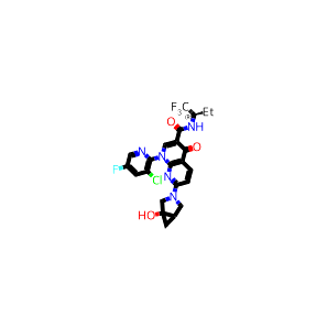 CC[C@@H](NC(=O)c1cn(-c2ncc(F)cc2Cl)c2nc(N3CC4CC4(O)C3)ccc2c1=O)C(F)(F)F